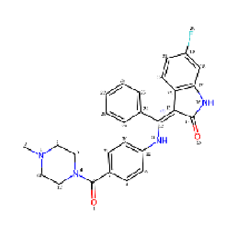 CN1CCN(C(=O)c2ccc(N/C(=C3\C(=O)Nc4cc(F)ccc43)c3ccccc3)cc2)CC1